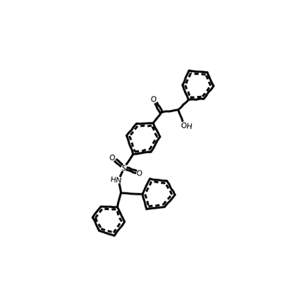 O=C(c1ccc(S(=O)(=O)NC(c2ccccc2)c2ccccc2)cc1)C(O)c1ccccc1